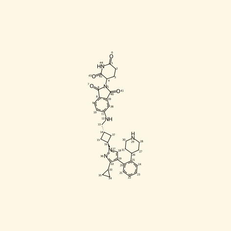 O=C1CCC(N2C(=O)c3ccc(NC[C@H]4C[C@H](n5cc(-c6ccccc6C6CCNCC6)c(C6CC6)n5)C4)cc3C2=O)C(=O)N1